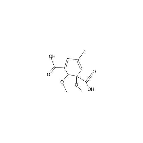 COC1C(C(=O)O)=CC(C)=CC1(OC)C(=O)O